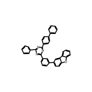 c1ccc(-c2ccc(-c3nc(-c4ccccc4)nc(-c4cccc(-c5ccc6oc7ccccc7c6c5)c4)n3)cc2)cc1